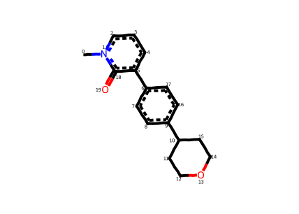 Cn1cccc(-c2ccc(C3CCOCC3)cc2)c1=O